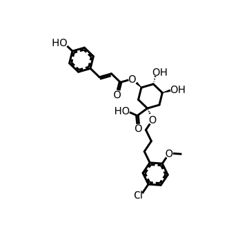 COc1ccc(Cl)cc1CCCO[C@@]1(C(=O)O)C[C@H](O)[C@@H](O)[C@H](OC(=O)C=Cc2ccc(O)cc2)C1